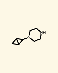 C1CN(C2C3CC32)CCN1